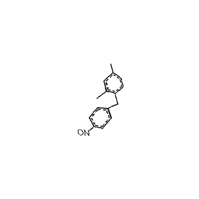 Cc1ccc(Cc2ccc(N=O)cc2)c(C)c1